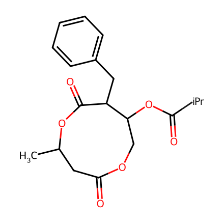 CC1CC(=O)OCC(OC(=O)C(C)C)C(Cc2ccccc2)C(=O)O1